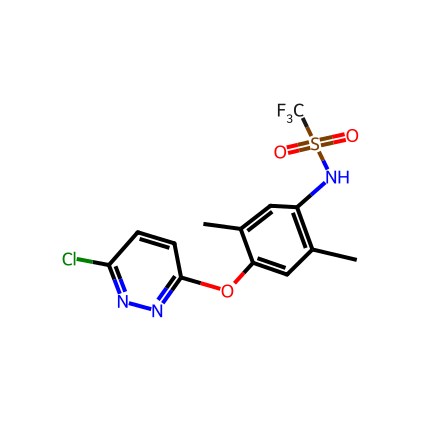 Cc1cc(Oc2ccc(Cl)nn2)c(C)cc1NS(=O)(=O)C(F)(F)F